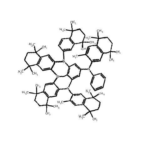 Cc1cc2c(cc1N(c1ccccc1)c1cc3c4c(c1)N(c1cc5c(cc1C)C(C)(C)CCC5(C)C)c1cc5c(cc1B4c1cc4c(cc1N3c1ccc3c(c1)C(C)(C)CCC3(C)C)C(C)(C)CCC4(C)C)C(C)(C)CCC5(C)C)C(C)(C)CCC2(C)C